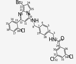 O=C(NCc1ccc(CNc2cc(-c3ccccc3Cl)nc3c(Br)ccn23)cc1)c1cc(Cl)cc(Cl)c1